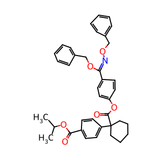 CC(C)OC(=O)c1ccc(C2(C(=O)Oc3ccc(C(=NOCc4ccccc4)OCc4ccccc4)cc3)CCCCC2)cc1